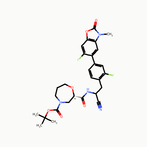 Cn1c(=O)oc2cc(F)c(-c3ccc(CC(C#N)NC(=O)[C@@H]4CN(C(=O)OC(C)(C)C)CCCO4)c(F)c3)cc21